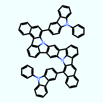 c1ccc(-n2c3ccccc3c3cc(-c4c5ccccc5cc5c6cccc7c8cc9c(cc8n(c45)c76)c4cccc5c6c7ccccc7cc(-c7ccc8c(c7)c7ccccc7n8-c7ccccc7)c6n9c45)ccc32)cc1